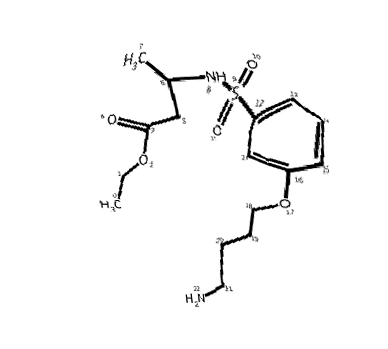 CCOC(=O)CC(C)NS(=O)(=O)c1cccc(OCCCCN)c1